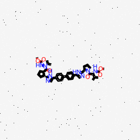 COC(=O)N[C@H](C(=O)N1CCCC1c1ncc(-c2ccc(-c3ccc(-c4cnc([C@H]5CCCC5C(=O)N(NC(=O)OC)C(C)C)[nH]4)cc3)cc2)[nH]1)C(C)C